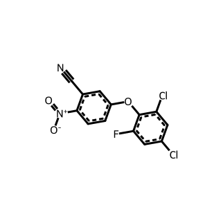 N#Cc1cc(Oc2c(F)cc(Cl)cc2Cl)ccc1[N+](=O)[O-]